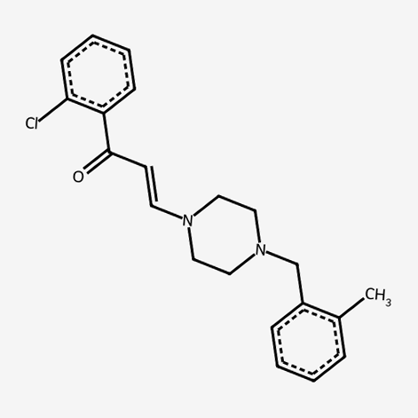 Cc1ccccc1CN1CCN(C=CC(=O)c2ccccc2Cl)CC1